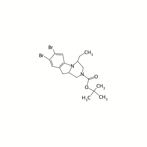 CCC1CN(C(=O)OC(C)(C)C)CC2Cc3cc(Br)c(Br)cc3N12